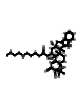 COCCOCCOCC(=O)O[C@H]1C[C@H]2Cc3c([nH]c4ccccc34)[C@]2(C)C2(C)CC[C@@]34O[C@@H](C(=O)C=C3[C@]12O)C(C)(C)O4